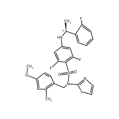 COc1ccc(CN(c2nccs2)S(=O)(=O)c2c(F)cc(N[C@@H](C)c3ccccc3F)cc2F)c(C)c1